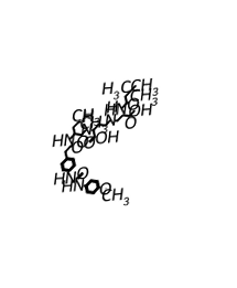 COc1ccc(NC(=O)Nc2ccc(CC(=O)NC(CC(C)C)C(=O)NC(CCNCC(NC(=O)CC(C)(C)C)C(=O)O)C(=O)O)cc2)cc1